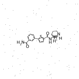 C[C@H]1[C@H](NC(=O)c2ccc(-c3cccc(C(N)=O)c3)s2)C2CCN1CC2